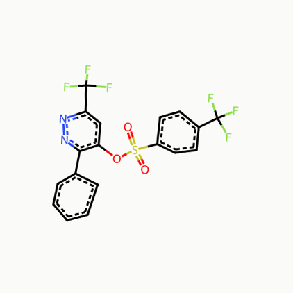 O=S(=O)(Oc1cc(C(F)(F)F)nnc1-c1ccccc1)c1ccc(C(F)(F)F)cc1